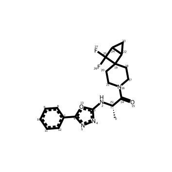 C[C@H](Nc1nnc(-c2ccccc2)o1)C(=O)N1CCC2(CC1)C1CC1C2(F)F